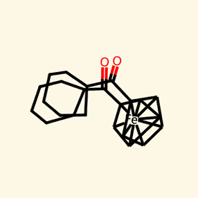 O=C(C1CCCCC1)[C]12[CH]3[CH]4[CH]5[CH]1[Fe]45321678[CH]2[CH]1[CH]6[C]7(C(=O)C1CCCCC1)[CH]28